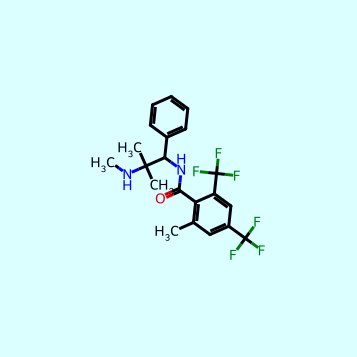 CNC(C)(C)C(NC(=O)c1c(C)cc(C(F)(F)F)cc1C(F)(F)F)c1ccccc1